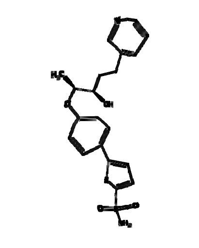 C[C@H](Oc1ccc(-c2ccc(S(N)(=O)=O)s2)cc1)[C@H](O)CCc1cccnc1